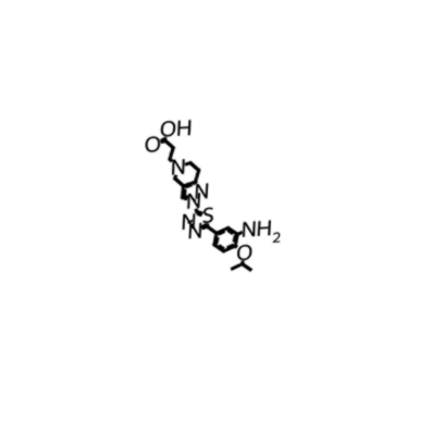 CC(C)Oc1ccc(-c2nnc(-n3cc4c(n3)CCN(CCC(=O)O)C4)s2)cc1N